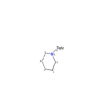 [TeH]N1CCCCC1